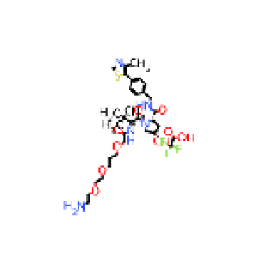 Cc1ncsc1-c1ccc(CNC(=O)[C@@H]2C[C@@H](O)CN2C(=O)[C@@H](NC(=O)COCCCOCCOCCN)C(C)(C)C)cc1.O=C(O)C(F)(F)F